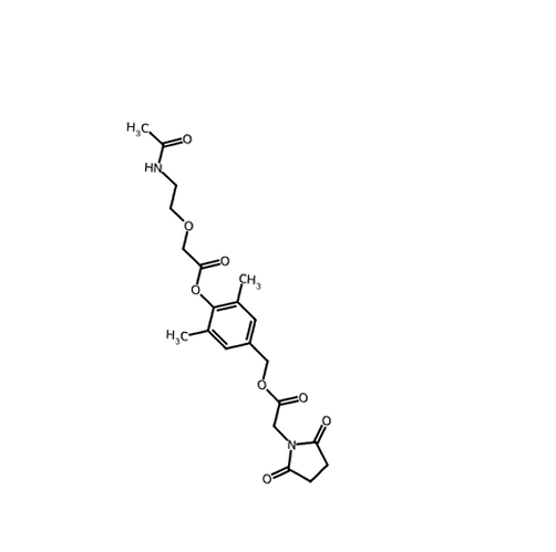 CC(=O)NCCOCC(=O)Oc1c(C)cc(COC(=O)CN2C(=O)CCC2=O)cc1C